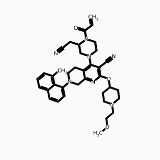 C=CC(=O)N1CCN(c2c(C#N)c(OC3CCN(CCOC)CC3)nc3c2CCN(c2cccc4cccc(C)c24)C3)CC1CC#N